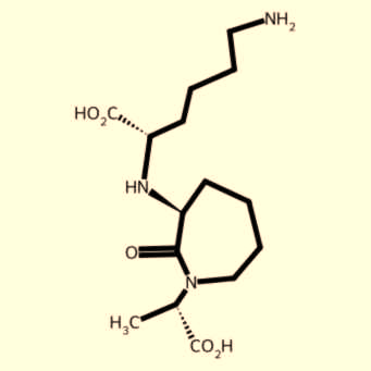 C[C@@H](C(=O)O)N1CCCC[C@H](N[C@@H](CCCCN)C(=O)O)C1=O